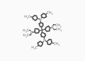 CCN(CC)c1ccc(C(c2ccc(N(CC)CC)cc2)(c2ccc(N(c3ccc(C)cc3)c3ccc(C)cc3)cc2)c2ccc(N(c3ccc(C)cc3)c3ccc(C)cc3)cc2)cc1